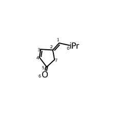 CC(C)C=C1C=CC(=O)C1